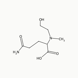 CN(CCO)C(CCC(N)=O)C(=O)O